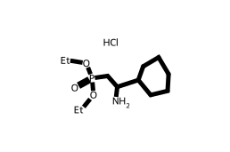 CCOP(=O)(CC(N)C1CCCCC1)OCC.Cl